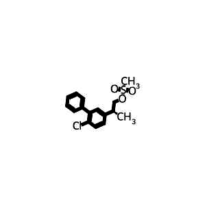 C[C@H](COS(C)(=O)=O)c1ccc(Cl)c(-c2ccccc2)c1